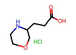 Cl.O=C(O)CCC1COCCN1